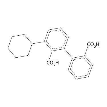 O=C(O)c1ccccc1-c1cccc(C2CCCCC2)c1C(=O)O